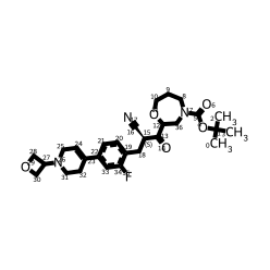 CC(C)(C)OC(=O)N1CCCOC(C(=O)[C@H](C#N)Cc2ccc(C3=CCN(C4COC4)CC3)cc2F)C1